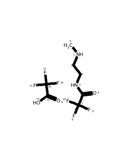 CNCCNC(=O)C(F)(F)F.O=C(O)C(F)(F)F